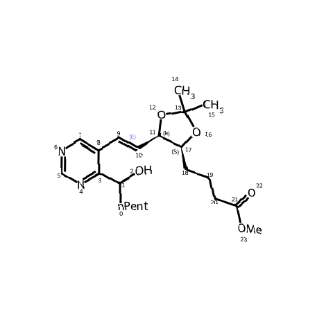 CCCCCC(O)c1ncncc1/C=C/[C@H]1OC(C)(C)O[C@H]1CCCC(=O)OC